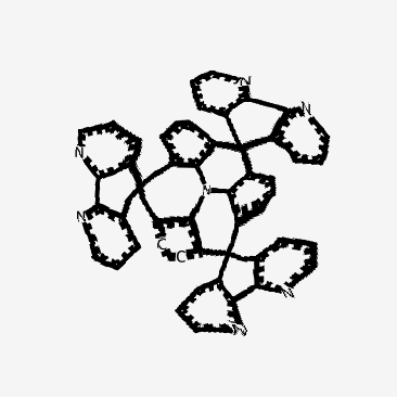 c1cnc2c(c1)C1(c3cccnc3-2)c2cccc3c2N2c4c1cccc4C1(c4cccnc4-c4ncccc41)c1cccc(c12)C31c2cccnc2-c2ncccc21